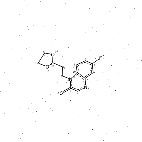 O=c1cnc2cc(F)ccc2n1CCC1OCCO1